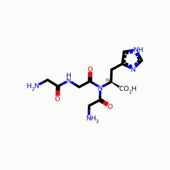 NCC(=O)NCC(=O)N(C(=O)CN)[C@@H](Cc1c[nH]cn1)C(=O)O